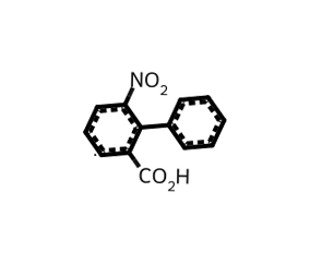 O=C(O)c1[c]ccc([N+](=O)[O-])c1-c1ccccc1